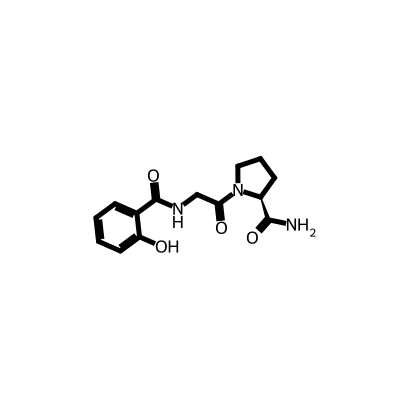 NC(=O)[C@@H]1CCCN1C(=O)CNC(=O)c1ccccc1O